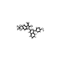 COc1ccc(-c2nc(NC(=O)C3(c4ccc5c(c4)OC(F)(F)O5)CC3)cc3ccccc23)cn1